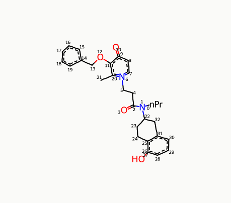 CCCN(C(=O)CCn1ccc(=O)c(OCc2ccccc2)c1C)C1CCc2c(O)cccc2C1